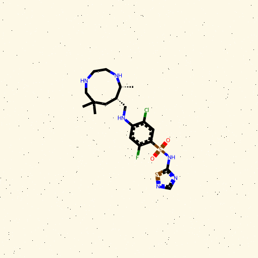 C[C@H]1NCCNCC(C)(C)C[C@H]1CNc1cc(F)c(S(=O)(=O)Nc2ncns2)cc1Cl